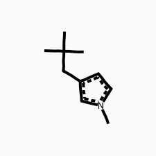 Cn1ccc(CC(C)(C)C)c1